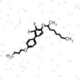 CCCCCCC(C)Oc1ccc(-c2ccc(OCCCC)cc2)c(F)c1F